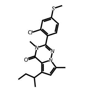 CCC(C)c1cc(C)n2nc(-c3ccc(SC)cc3Cl)n(C)c(=O)c12